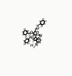 N#C[C@@]1(c2ccc3c(N)ncnn23)OC(COCc2ccccc2)[C@@H](OCc2ccccc2)[C@H]1OCc1ccccc1